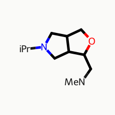 CNCC1OCC2CN(C(C)C)CC21